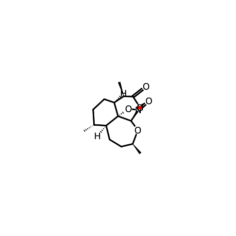 C[C@@H]1CC[C@H]2[C@@H](C)C(=O)O[C@@H]3O[C@@H](C)CC[C@@H]1[C@]32ON=O